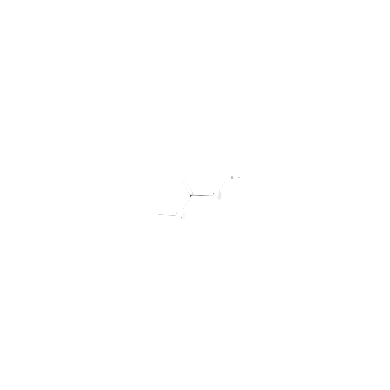 CCCCNC(=O)NC(C)C